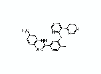 Cc1ccc(C(=O)Nc2cc(C(F)(F)F)ccc2Br)cc1Nc1ncccc1-c1ccncn1